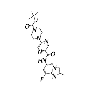 Cc1cn2cc(NC(=O)c3cnc(N4CCN(C(=O)OC(C)(C)C)CC4)cn3)cc(F)c2n1